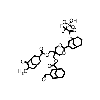 CC1CC2CC(C(=O)OCC3(COC(=O)C45CCCC(CC(C=O)C4)C5)COC(C4CC5CCCC(OC(=O)C(F)(F)S(=O)(=O)O)(C5)C4)OC3)CC(C2)C1=O